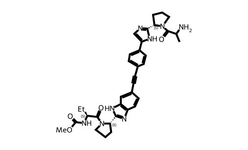 CC[C@H](NC(=O)OC)C(=O)N1CCC[C@H]1c1nc2ccc(C#Cc3ccc(-c4cnc([C@@H]5CCCN5C(=O)C(C)N)[nH]4)cc3)cc2[nH]1